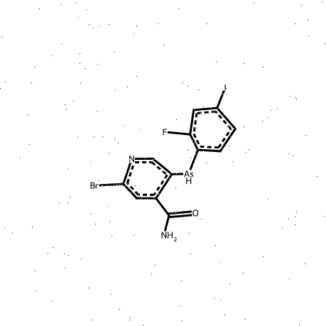 NC(=O)c1cc(Br)ncc1[AsH]c1ccc(I)cc1F